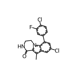 Cc1c2n(c3c(-c4ccc(Cl)c(F)c4)cc(Cl)cc13)CCNC2=O